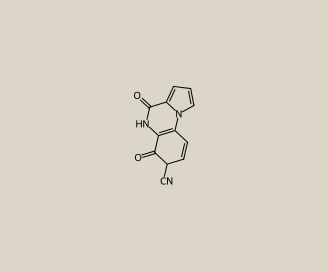 N#CC1C=Cc2c([nH]c(=O)c3cccn23)C1=O